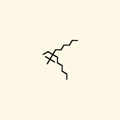 [CH2]CC(CCCCCC)(CCCCCC)C(C)(C)C